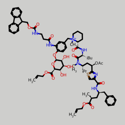 C=CCOC(=O)[C@H]1O[C@@H](Oc2ccc(C[N+]3(C)CCCC[C@@H]3C(=O)N[C@H](C(=O)N(C)[C@H](C[C@@H](OC(C)=O)c3nc(C(=O)N[C@@H](Cc4ccccc4)C[C@H](C)C(=O)OCC=C)cs3)C(C)C)[C@@H](C)CC)cc2NC(=O)CCNC(=O)OCC2c3ccccc3-c3ccccc32)[C@H](O)[C@@H](O)[C@@H]1O